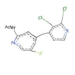 CC(=O)Nc1cc(-c2ccnc(Cl)c2Cl)c(F)cn1